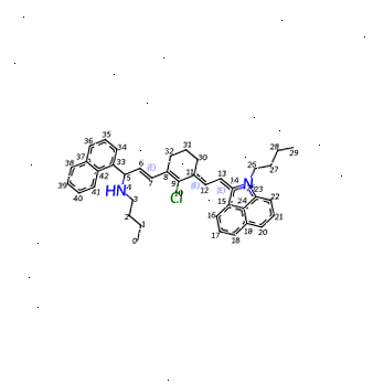 CCCCNC(/C=C/C1=C(Cl)C(=C/C=c2\c3cccc4cccc(c43)n2CCCC)/CCC1)c1cccc2ccccc12